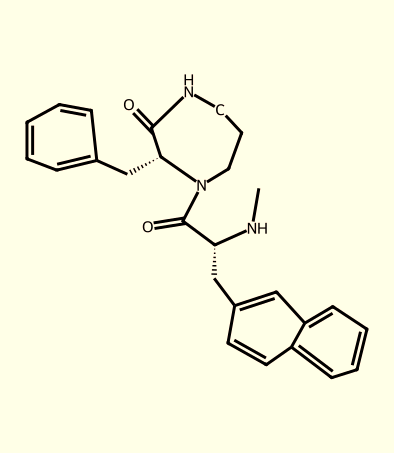 CN[C@H](Cc1ccc2ccccc2c1)C(=O)N1CCCNC(=O)[C@H]1Cc1ccccc1